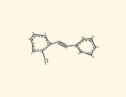 Clc1cc[c]cc1C#Cc1ccccc1